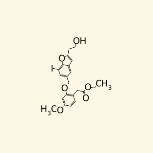 CCOC(=O)Cc1ccc(OC)cc1OCc1cc(I)c2oc(CCO)cc2c1